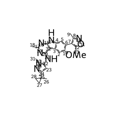 COc1cc2c(cc1-c1c(C)noc1C)[nH]c1nc(C)nc(Nc3cc(C4(C)CC4)nn3C)c12